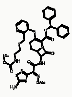 CON=C(C(=O)NC1C(=O)N2C(C(=O)OC(c3ccccc3)c3ccccc3)=C(Sc3cccnc3CSCCNC(=O)OC(C)(C)C)CCC12)c1nsc(N)n1